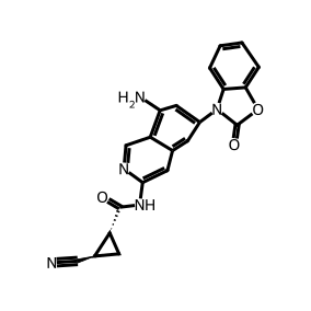 N#C[C@@H]1C[C@H]1C(=O)Nc1cc2cc(-n3c(=O)oc4ccccc43)cc(N)c2cn1